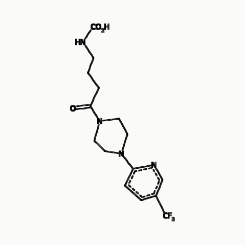 O=C(O)NCCCC(=O)N1CCN(c2ccc(C(F)(F)F)cn2)CC1